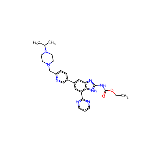 CCOC(=O)Nc1nc2cc(-c3ccc(CN4CCN(C(C)C)CC4)nc3)cc(-c3ncccn3)c2[nH]1